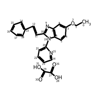 CCOc1ccc2c(c1)nc(C=Cc1ccccc1)n2-c1ccccn1.O=C(O)C(=O)O